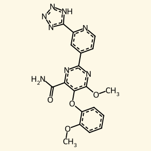 COc1ccccc1Oc1c(OC)nc(-c2ccnc(-c3nnn[nH]3)c2)nc1C(N)=O